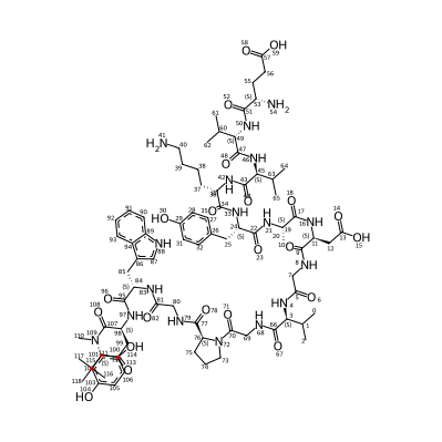 CC(C)[C@H](NC(=O)CNC(=O)[C@H](CC(=O)O)NC(=O)[C@H](C)NC(=O)[C@H](Cc1ccc(O)cc1)NC(=O)[C@H](CCCCN)NC(=O)[C@@H](NC(=O)[C@@H](NC(=O)[C@@H](N)CCC(=O)O)C(C)C)C(C)C)C(=O)NCC(=O)N1CCC[C@H]1C(=O)NCC(=O)N[C@@H](Cc1c[nH]c2ccccc12)C(=O)N[C@@H](Cc1ccc(O)cc1)C(=O)N(C)[C@H](C(=O)O)C(C)(C)C